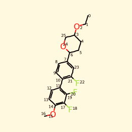 CCOC1CCC(c2ccc(-c3ccc(OC)c(F)c3F)c(F)c2)OC1